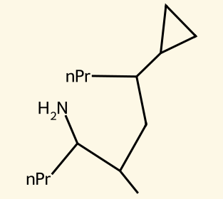 CCCC(N)C(C)CC(CCC)C1CC1